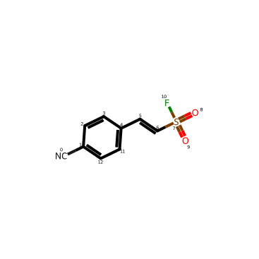 N#Cc1ccc(C=CS(=O)(=O)F)cc1